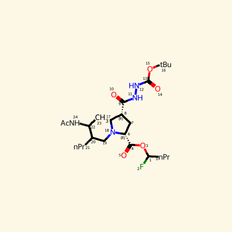 CCCC(F)OC(=O)[C@H]1C[C@@H](C(=O)NNC(=O)OC(C)(C)C)CN1CC(CCC)C(C)NC(C)=O